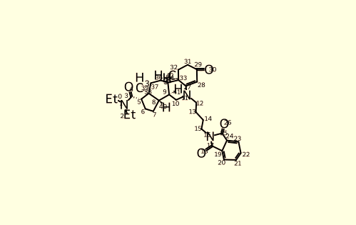 CCN(CC)C(=O)[C@H]1CC[C@H]2[C@@H]3CN(CCCCN4C(=O)c5ccccc5C4=O)C4=CC(=O)CC[C@]4(C)[C@H]3CC[C@]12C